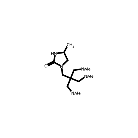 CNCC(CNC)(CNC)CN1CC(C)NC1=O